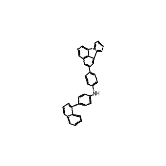 c1ccc2c(c1)-c1cccc3cc(-c4ccc(Nc5ccc(-c6cccc7ccccc67)cc5)cc4)cc-2c13